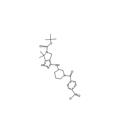 CC(C)(C)OC(=O)N1Cc2c(NC3CCCN(C(=O)c4ccc([N+](=O)[O-])cc4)C3)n[nH]c2C1(C)C